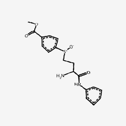 COC(=O)c1ccc([S+]([O-])CCC(N)C(=O)Nc2ccccc2)cc1